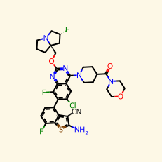 N#Cc1c(N)sc2c(F)ccc(-c3c(Cl)cc4c(N5CCC(C(=O)N6CCOCC6)CC5)nc(OC[C@@]56CCCN5C[C@H](F)C6)nc4c3F)c12